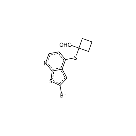 O=CC1(Sc2ccnc3sc(Br)cc23)CCC1